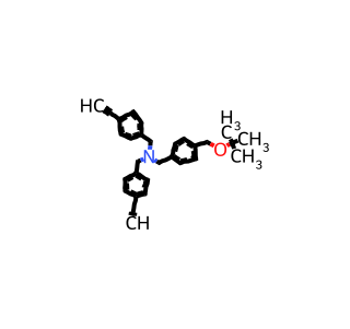 C#Cc1ccc(CN(Cc2ccc(C#C)cc2)Cc2ccc(COC(C)(C)C)cc2)cc1